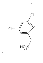 O=S(=O)(O)Cc1cc(Cl)cc(Cl)c1